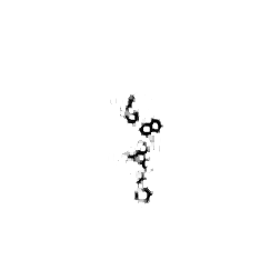 COC(C)(C)c1nnc2ccc(OC3CCC(NC(=O)Nc4cc(C(C)(C)C)nc(C(=O)NCCN5CCCOCC5)n4)c4ccccc43)cn12